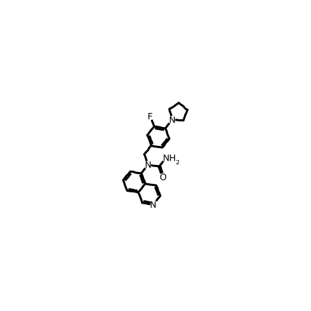 NC(=O)N(Cc1ccc(N2CCCC2)c(F)c1)c1cccc2cnccc12